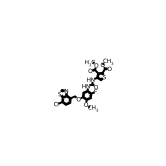 COC(=O)c1scc(NC(=O)Nc2cc(OCc3ccc(Cl)c4scnc34)c(OC)cc2F)c1C(=O)OC